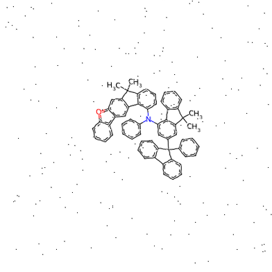 CC1(C)c2cc3oc4ccccc4c3cc2-c2c(N(c3ccccc3)c3cc(C4(c5ccccc5)c5ccccc5-c5ccccc54)cc4c3-c3ccccc3C4(C)C)cccc21